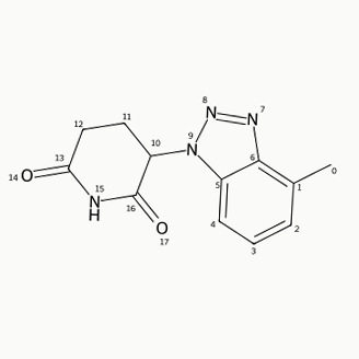 Cc1cccc2c1nnn2C1CCC(=O)NC1=O